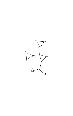 O=C(O)C1CC1(C1CC1)C1CC1